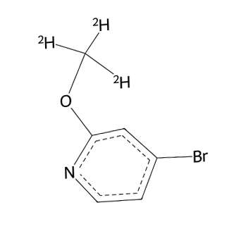 [2H]C([2H])([2H])Oc1cc(Br)ccn1